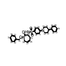 O=C1[C@H](NS(=O)(=O)c2ccc(N3CCC(c4ccccc4)CC3)cc2)CC=CCN1OCc1ccccc1